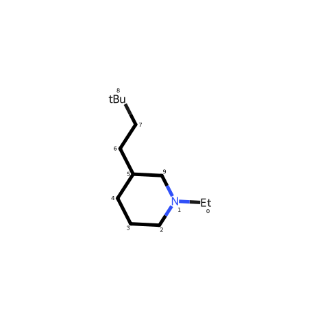 CCN1CCCC(CCC(C)(C)C)C1